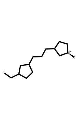 ICC1CCC(CCCC2CC[C@@H](I)C2)C1